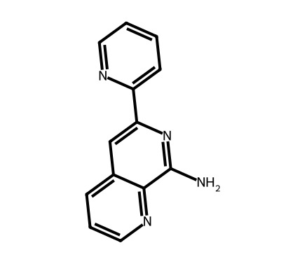 Nc1nc(-c2ccccn2)cc2cccnc12